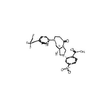 O=C(O)c1ccc([N+](=O)[O-])cc1[C@@H]1C[C@H]2CN(c3ccc(C(F)(F)F)cn3)CCC(=O)N2C1